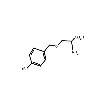 CC(C)(C)c1ccc(CSC[C@H](N)C(=O)O)cc1